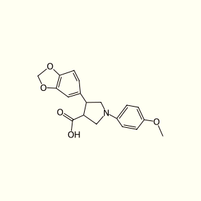 COc1ccc(N2CC(C(=O)O)C(c3ccc4c(c3)OCO4)C2)cc1